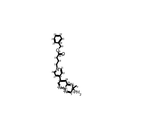 CC1(P)C=NN2N=CC(c3cc[n+](CCCC(=O)OCc4ccccc4)cc3)=CC2=N1